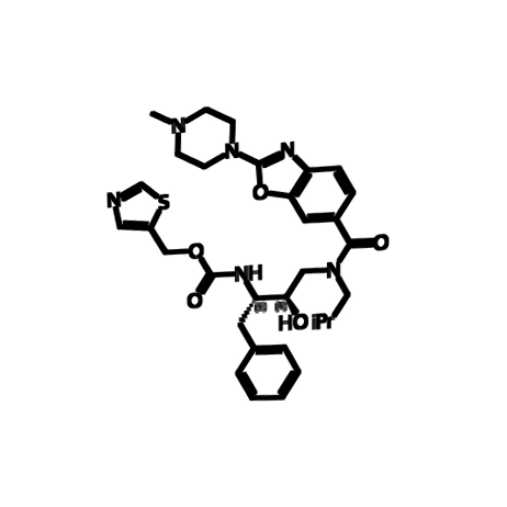 CC(C)CN(C[C@@H](O)[C@H](Cc1ccccc1)NC(=O)OCc1cncs1)C(=O)c1ccc2nc(N3CCN(C)CC3)oc2c1